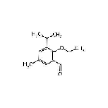 CCOc1c(C=O)cc(C)cc1C(C)C